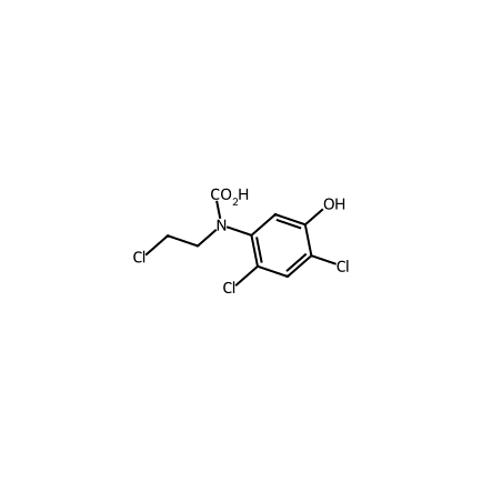 O=C(O)N(CCCl)c1cc(O)c(Cl)cc1Cl